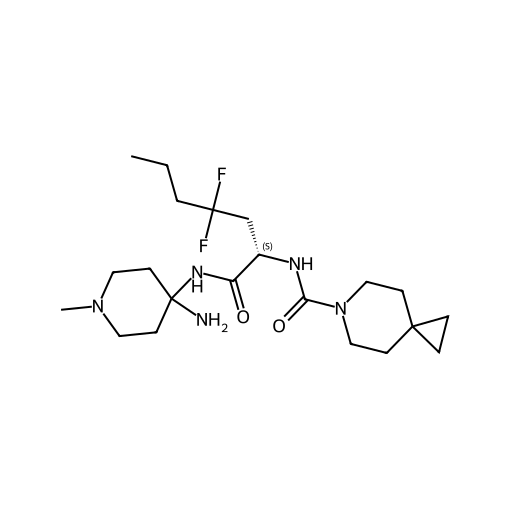 CCCC(F)(F)C[C@H](NC(=O)N1CCC2(CC1)CC2)C(=O)NC1(N)CCN(C)CC1